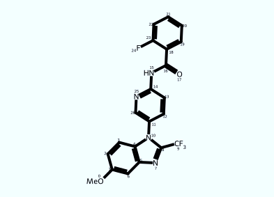 COc1ccc2c(c1)nc(C(F)(F)F)n2-c1ccc(NC(=O)c2ccccc2F)nc1